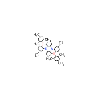 Cc1cc(C)c(B2C3=C4C(=CCC3)N3c5cc(C6CCC6)ccc5B(c5c(C)cc(C)cc5C)c5cccc(c53)N4c3cc(C4CCC4)ccc32)c(C)c1